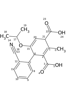 CC1=C(C(=O)O)C(c2ccccc2C#N)C(OC(C)C)=CC1C(=O)O